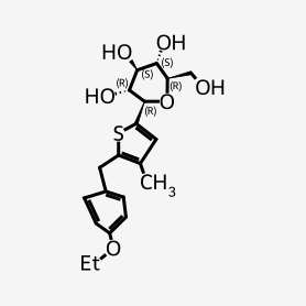 CCOc1ccc(Cc2sc([C@@H]3O[C@H](CO)[C@@H](O)[C@H](O)[C@H]3O)cc2C)cc1